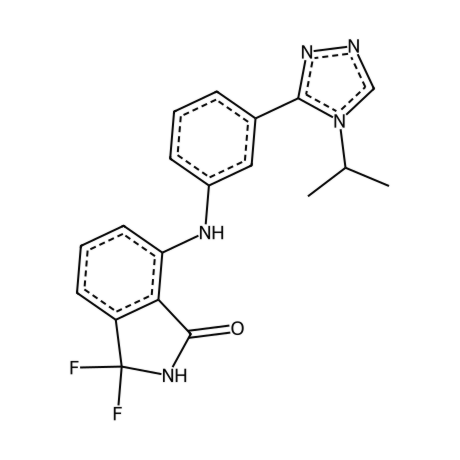 CC(C)n1cnnc1-c1cccc(Nc2cccc3c2C(=O)NC3(F)F)c1